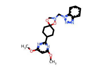 COc1cc(OC)nc(C2CCC3(CC2)OCN(Cn2nnc4ccccc42)O3)n1